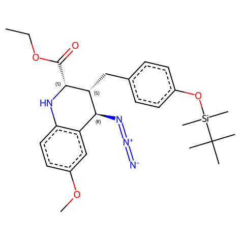 CCOC(=O)[C@H]1Nc2ccc(OC)cc2[C@H](N=[N+]=[N-])[C@H]1Cc1ccc(O[Si](C)(C)C(C)(C)C)cc1